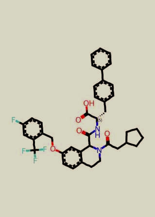 O=C(N[C@@H](Cc1ccc(-c2ccccc2)cc1)C(=O)O)C1c2cc(OCc3ccc(F)cc3C(F)(F)F)ccc2CCN1C(=O)CC1CCCC1